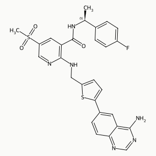 C[C@H](NC(=O)c1cc(S(C)(=O)=O)cnc1NCc1ccc(-c2ccc3ncnc(N)c3c2)s1)c1ccc(F)cc1